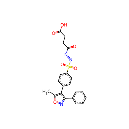 Cc1onc(-c2ccccc2)c1-c1ccc(S(=O)(=O)N=NC(=O)CCC(=O)O)cc1